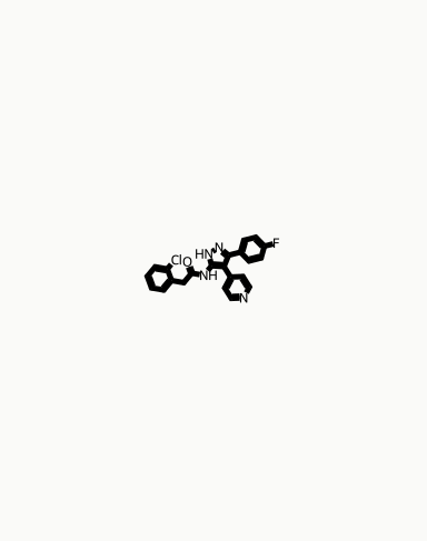 O=C(Cc1ccccc1Cl)Nc1[nH]nc(-c2ccc(F)cc2)c1-c1ccncc1